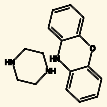 C1CNCCN1.c1ccc2c(c1)Nc1ccccc1O2